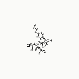 CCCCc1ccc(N=C2SCC(N(C(C)=O)c3ccc(Cl)cc3)N2C)cc1.Cl